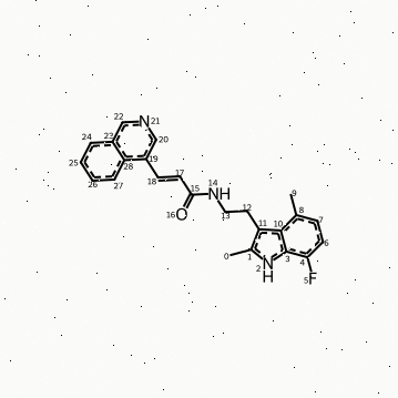 Cc1[nH]c2c(F)ccc(C)c2c1CCNC(=O)C=Cc1cncc2ccccc12